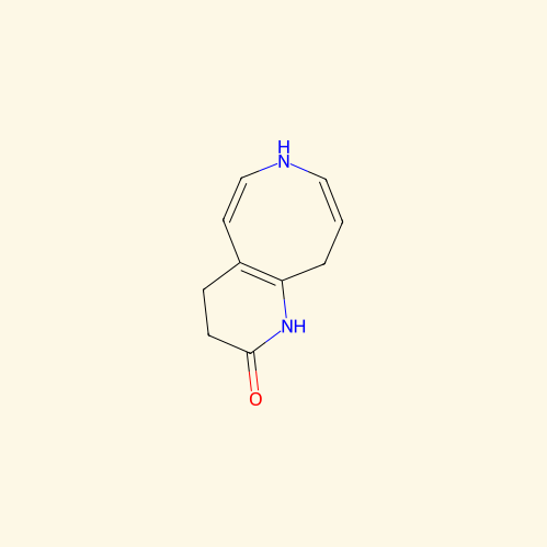 O=C1CCC2=C(CC=CN/C=C\2)N1